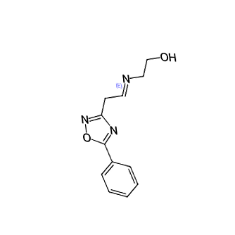 OCC/N=C/Cc1noc(-c2ccccc2)n1